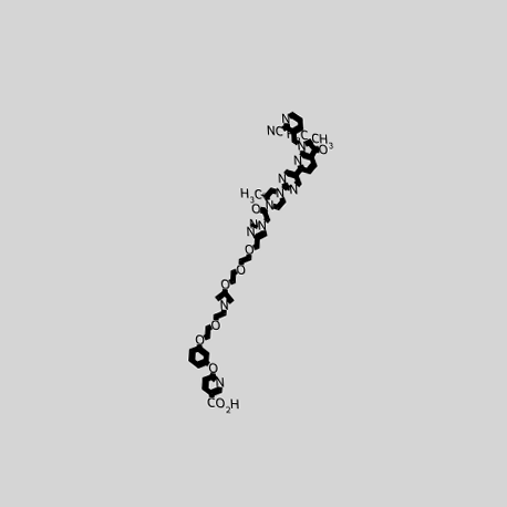 C[C@@H]1CN(c2ncc(-c3ccc4c(n3)N(Cc3cccnc3C#N)C(C)(C)C4=O)cn2)CCN1C(=O)Cn1cc(COCCOCCOC2CN(CCOCCOc3cccc(Oc4ccc(C(=O)O)cn4)c3)C2)nn1